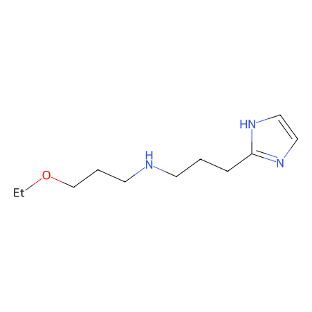 CCOCCCNCCCc1ncc[nH]1